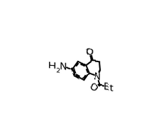 CCC(=O)N1CCC(=O)c2cc(N)ccc21